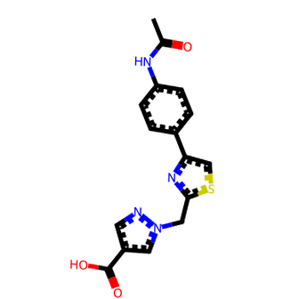 CC(=O)Nc1ccc(-c2csc(Cn3cc(C(=O)O)cn3)n2)cc1